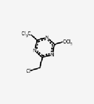 ClCc1nc(C(Cl)(Cl)Cl)nc(C(Cl)(Cl)Cl)n1